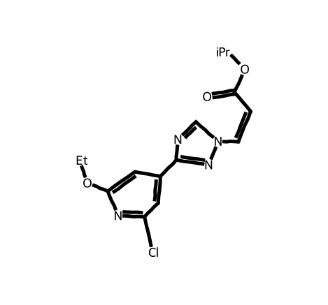 CCOc1cc(-c2ncn(/C=C\C(=O)OC(C)C)n2)cc(Cl)n1